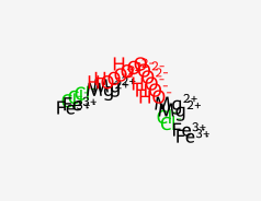 O.[Cl-].[Cl-].[Cl-].[Cl-].[Cl-].[Fe+3].[Fe+3].[Fe+3].[Fe+3].[Mg+2].[Mg+2].[Mg+2].[Mg+2].[O-2].[O-2].[O-2].[O-2].[O-2].[OH-].[OH-].[OH-].[OH-].[OH-]